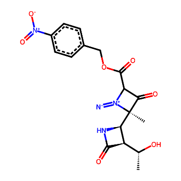 C[C@@H](O)[C@H]1C(=O)N[C@H]1[C@]1(C)C(=O)C(C(=O)OCc2ccc([N+](=O)[O-])cc2)[N+]1=[N-]